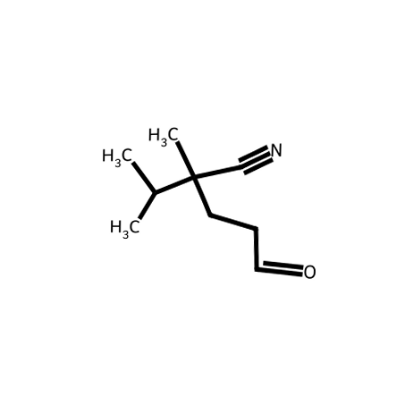 CC(C)C(C)(C#N)CCC=O